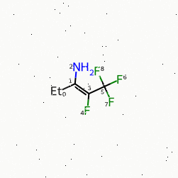 [CH2]CC(N)=C(F)C(F)(F)F